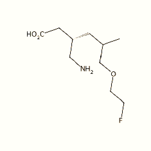 CC(COCCF)C[C@H](CN)CC(=O)O